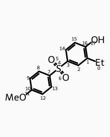 CCc1cc(S(=O)(=O)c2ccc(OC)cc2)ccc1O